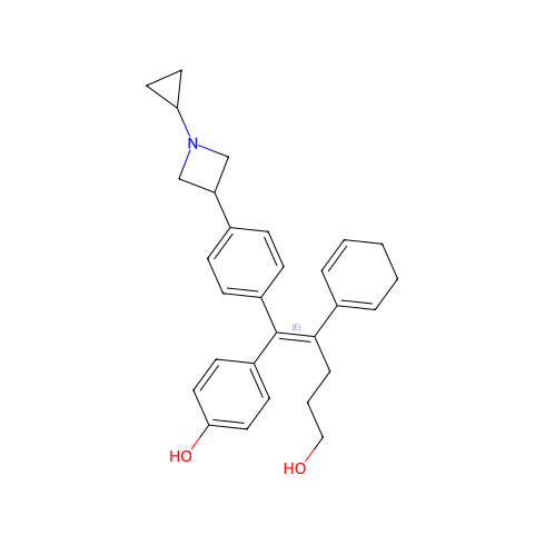 OCCC/C(C1=CCCC=C1)=C(\c1ccc(O)cc1)c1ccc(C2CN(C3CC3)C2)cc1